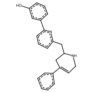 Oc1cccc(-c2cccc(CC3CC(c4ccccc4)=CCN3)n2)c1